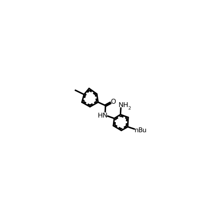 CCCCc1ccc(NC(=O)c2ccc(C)cc2)c(N)c1